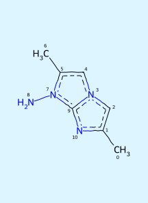 Cc1cn2cc(C)n(N)c2n1